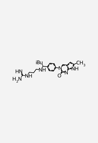 CCC(C)[C@H](NCCCNC(=N)N)c1ccc(-n2cc3cc(C)[nH]c3nc2=O)cc1